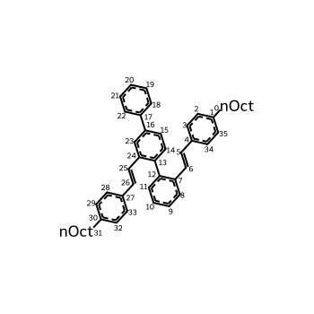 CCCCCCCCc1ccc(/C=C/c2ccccc2-c2ccc(-c3ccccc3)cc2/C=C/c2ccc(CCCCCCCC)cc2)cc1